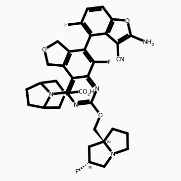 N#Cc1c(N)oc2ccc(F)c(-c3c4c(c5c(N6C7CCC6CN(C(=O)O)C7)nc(OC[C@@]67CCCN6C[C@H](F)C7)nc5c3F)COC4)c12